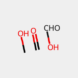 C=O.CO.O=CO